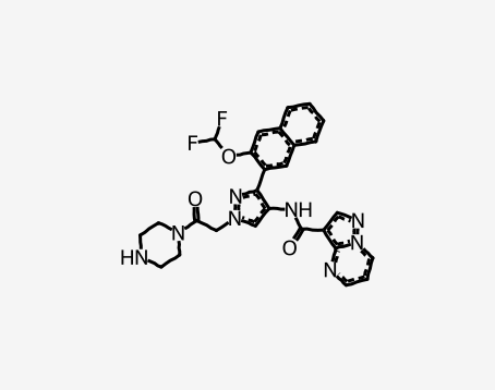 O=C(Nc1cn(CC(=O)N2CCNCC2)nc1-c1cc2ccccc2cc1OC(F)F)c1cnn2cccnc12